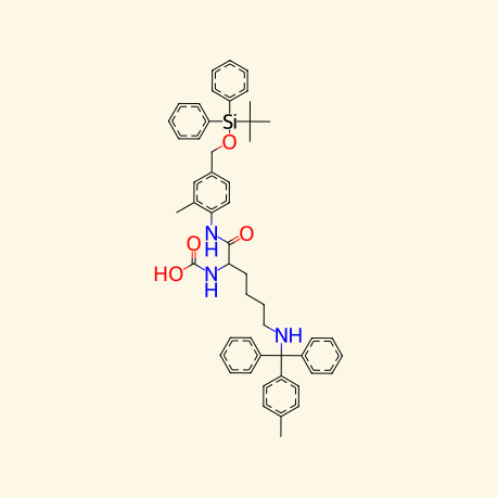 Cc1ccc(C(NCCCCC(NC(=O)O)C(=O)Nc2ccc(CO[Si](c3ccccc3)(c3ccccc3)C(C)(C)C)cc2C)(c2ccccc2)c2ccccc2)cc1